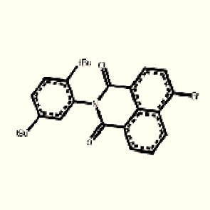 CC(C)(C)c1ccc(C(C)(C)C)c(N2C(=O)c3cccc4c(Br)ccc(c34)C2=O)c1